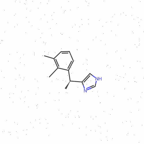 [CH2]c1cccc([C@H](C)c2c[nH]cn2)c1C